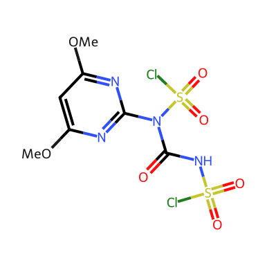 COc1cc(OC)nc(N(C(=O)NS(=O)(=O)Cl)S(=O)(=O)Cl)n1